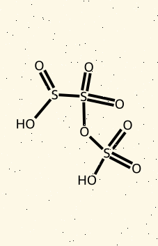 O=S(O)S(=O)(=O)OS(=O)(=O)O